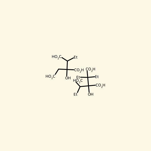 CCC(C(=O)O)C(O)(C(=O)O)C(CC)(CC)C(=O)O.CCC(C(=O)O)C(O)(CC(=O)O)C(=O)O